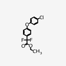 CCOC(=O)C(F)(F)c1ccc(Oc2ccc(Cl)cc2)cc1